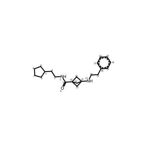 O=C(NCCC1CCCC1)C12CC(NCCc3ccccc3)(C1)C2